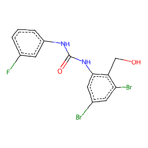 O=C(Nc1cccc(F)c1)Nc1cc(Br)cc(Br)c1CO